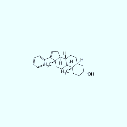 C[C@]12CC[C@@H](O)C[C@@H]1CC[C@@H]1[C@@H]2CC[C@]2(C)C(c3ccccc3)=CC[C@@H]12